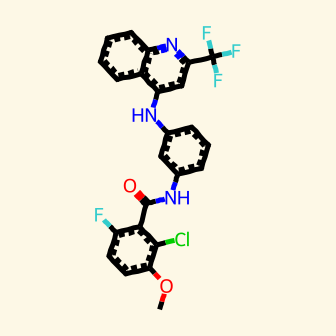 COc1ccc(F)c(C(=O)Nc2cccc(Nc3cc(C(F)(F)F)nc4ccccc34)c2)c1Cl